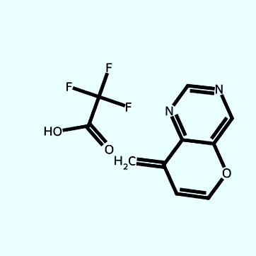 C=C1C=COc2cncnc21.O=C(O)C(F)(F)F